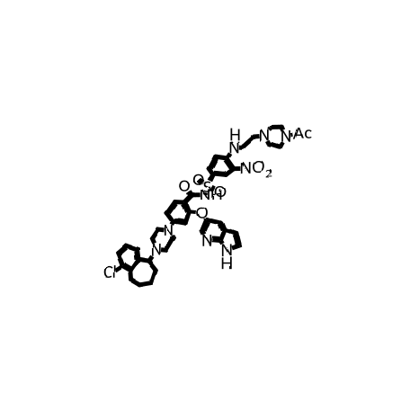 CC(=O)N1CCN(CCNc2ccc(S(=O)(=O)NC(=O)c3ccc(N4CCN(C5CCCCc6c(Cl)cccc65)CC4)cc3Oc3cnc4[nH]ccc4c3)cc2[N+](=O)[O-])CC1